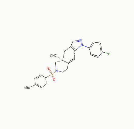 CC(C)(C)c1ccc(S(=O)(=O)N2CCC3=Cc4c(cnn4-c4ccc(F)cc4)C[C@]3(C=O)C2)cc1